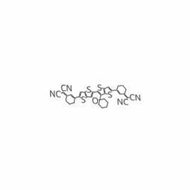 N#CC(C#N)=C1C=C(c2cc3sc4c(c3s2)OC2(CCCCC2)c2c-4sc3cc(C4=CC(=C(C#N)C#N)CCC4)sc23)CCC1